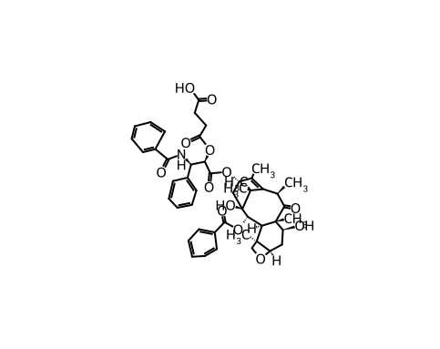 CC1=C2[C@@H](C)C(=O)[C@@]3(C)[C@H]([C@H](OC(=O)c4ccccc4)[C@](O)(C[C@@H]1OC(=O)[C@H](OC(=O)CCC(=O)O)[C@H](NC(=O)c1ccccc1)c1ccccc1)C2(C)C)[C@]1(C)CO[C@@H]1C[C@@H]3O